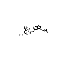 NCc1csc2cnc(CCSc3nc(N)cc(C(F)(F)F)n3)cc12